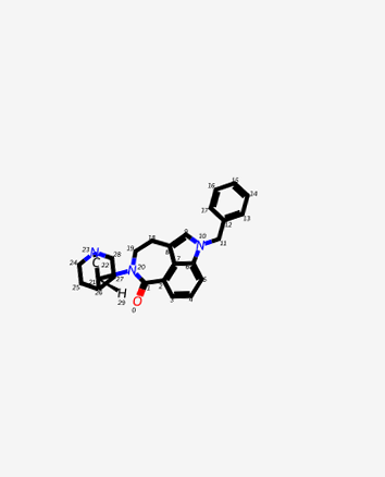 O=C1c2cccc3c2c(cn3Cc2ccccc2)CCN1[C@H]1CN2CCC1CC2